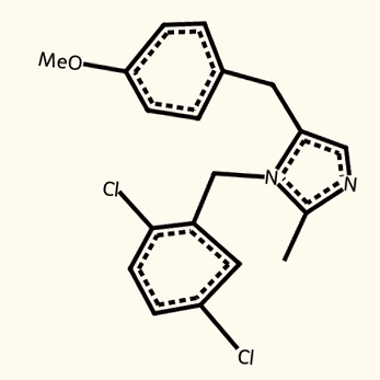 COc1ccc(Cc2cnc(C)n2Cc2cc(Cl)ccc2Cl)cc1